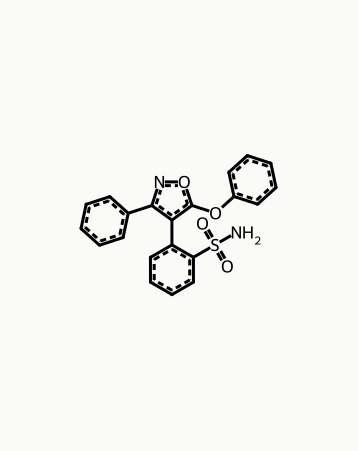 NS(=O)(=O)c1ccccc1-c1c(-c2ccccc2)noc1Oc1ccccc1